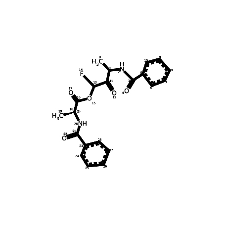 CC(NC(=O)c1ccccc1)C(=O)C(F)OC(=O)[C@H](C)NC(=O)c1ccccc1